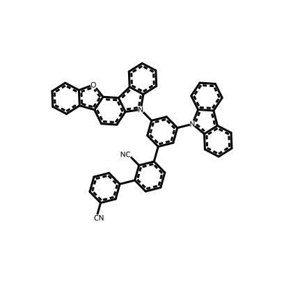 N#Cc1cccc(-c2cccc(-c3cc(-n4c5ccccc5c5ccccc54)cc(-n4c5ccccc5c5c6oc7ccccc7c6ccc54)c3)c2C#N)c1